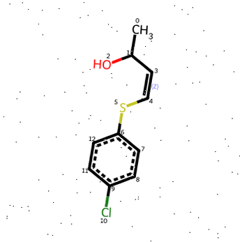 CC(O)/C=C\Sc1ccc(Cl)cc1